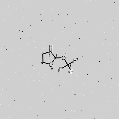 FC(F)(F)OC1NC[CH]O1